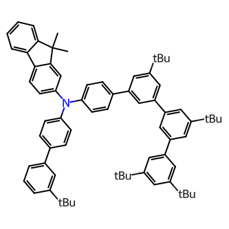 CC(C)(C)c1cccc(-c2ccc(N(c3ccc(-c4cc(-c5cc(-c6cc(C(C)(C)C)cc(C(C)(C)C)c6)cc(C(C)(C)C)c5)cc(C(C)(C)C)c4)cc3)c3ccc4c(c3)C(C)(C)c3ccccc3-4)cc2)c1